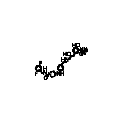 CS(=O)(=O)Nc1cc(CC(O)CNCCc2ccc(NC3CCN(C(=O)NCc4cc(F)ccc4F)CC3)cc2)ccc1O